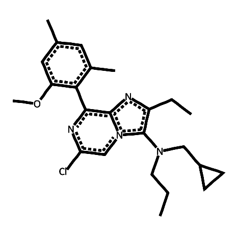 CCCN(CC1CC1)c1c(CC)nc2c(-c3c(C)cc(C)cc3OC)nc(Cl)cn12